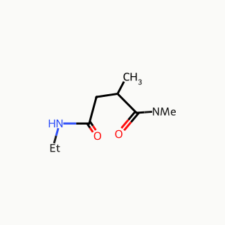 CCNC(=O)CC(C)C(=O)NC